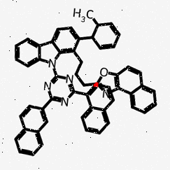 CC1C=CC=CC1c1ccc2c3ccccc3n(-c3nc(-c4ccc5ccccc5c4)nc(-c4cccc5ccccc45)n3)c2c1CCCc1nc2c(ccc3ccccc32)o1